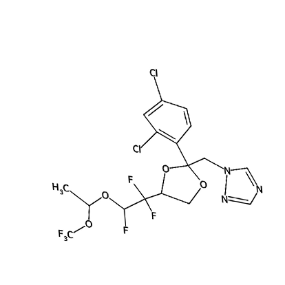 CC(OC(F)C(F)(F)C1COC(Cn2cncn2)(c2ccc(Cl)cc2Cl)O1)OC(F)(F)F